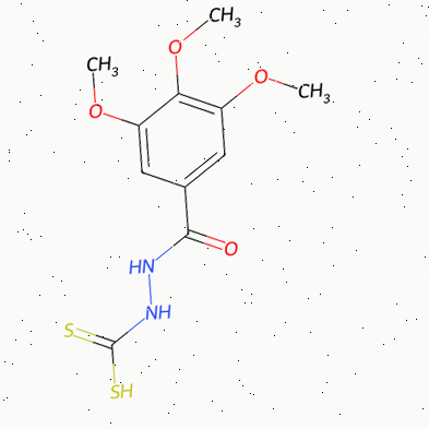 COc1cc(C(=O)NNC(=S)S)cc(OC)c1OC